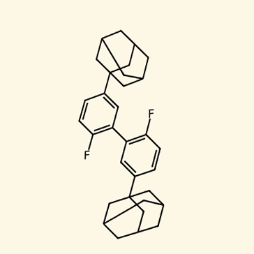 Fc1ccc(C23CC4CC(CC(C4)C2)C3)cc1-c1cc(C23CC4CC(CC(C4)C2)C3)ccc1F